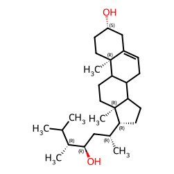 CC(C)[C@@H](C)[C@H](O)C[C@@H](C)[C@H]1CCC2C3CC=C4C[C@@H](O)CC[C@]4(C)C3CC[C@@]21C